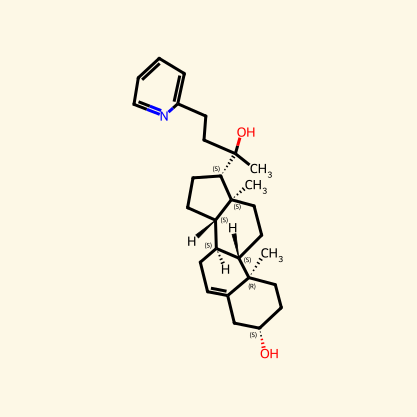 CC(O)(CCc1ccccn1)[C@H]1CC[C@H]2[C@@H]3CC=C4C[C@@H](O)CC[C@]4(C)[C@H]3CC[C@]12C